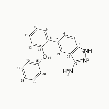 Nc1n[nH]c2ccc(-c3ccccc3Oc3ccccc3)cc12